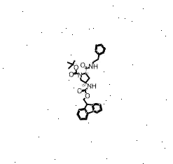 CC(C)(C)OC(=O)N1C[C@@H](NC(=O)OCC2c3ccccc3-c3ccccc32)C[C@H]1C(=O)NCCc1ccccc1